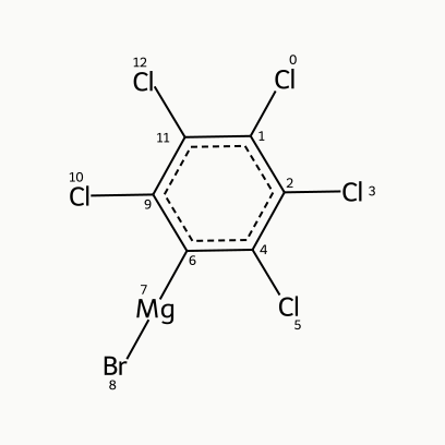 Clc1c(Cl)c(Cl)[c]([Mg][Br])c(Cl)c1Cl